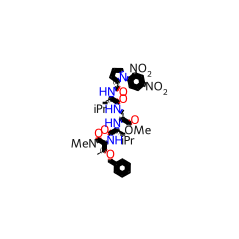 CNC(=O)[C@@H](NC(=O)[C@H](CC(C)C)N[C@H](CNC(=O)[C@H](CC(C)C)NC(=O)[C@@H]1CCCN1c1ccc([N+](=O)[O-])cc1[N+](=O)[O-])C(=O)OC)[C@@H](C)OCc1ccccc1